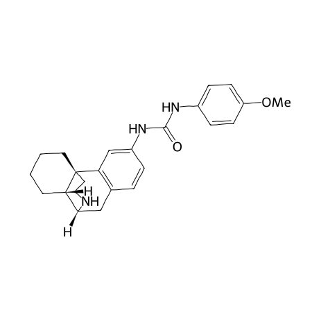 COc1ccc(NC(=O)Nc2ccc3c(c2)[C@@]24CCCC[C@H]2[C@@H](C3)NCC4)cc1